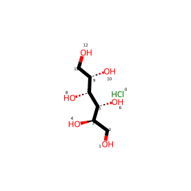 Cl.OC[C@@H](O)[C@@H](O)[C@H](O)[C@@H](O)CO